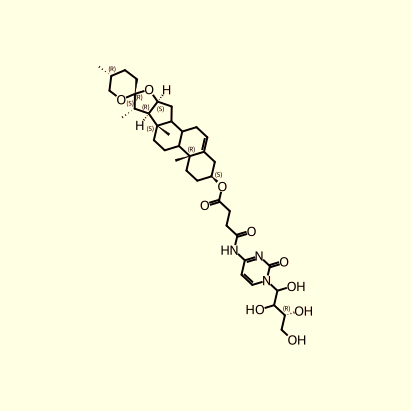 C[C@@H]1CC[C@@]2(OC1)O[C@H]1CC3C4CC=C5C[C@@H](OC(=O)CCC(=O)Nc6ccn(C(O)C(O)[C@H](O)CO)c(=O)n6)CC[C@]5(C)C4CC[C@]3(C)[C@H]1[C@@H]2C